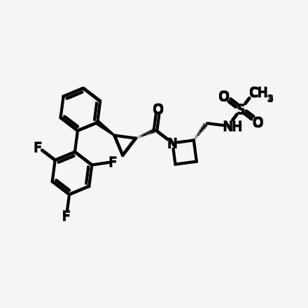 CS(=O)(=O)NC[C@@H]1CCN1C(=O)[C@@H]1C[C@H]1c1ccccc1-c1c(F)cc(F)cc1F